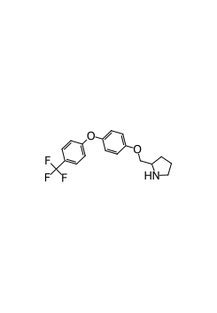 FC(F)(F)c1ccc(Oc2ccc(OCC3CCCN3)cc2)cc1